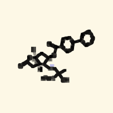 CCCCCC(C)(O)/C=C/C1[C@H]2CC(=O)O[C@H]2C[C@H]1OC(=O)c1ccc(-c2ccccc2)cc1